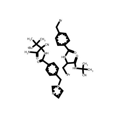 CC(C)(C)C(C)(C)C(C#N)(NC(=O)c1ccc(Cn2ccnc2)cc1)C(N)=O.CC(C)CC(NC(=O)c1ccc(CBr)cc1)C(=O)NC(C)(C)C#N